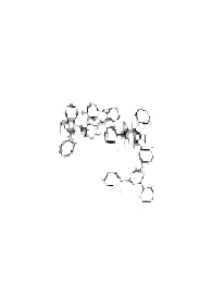 c1ccc(-c2cc(-c3ccccc3)cc(-c3cccc(-c4nc(-c5ccccc5)nc(-c5ccc6c(c5)C5(c7ccccc7-c7ccccc75)c5cc(-n7c(-c8ccccc8)nc8ccccc87)ccc5-6)n4)c3)c2)cc1